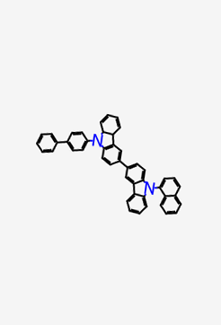 C1=CC2c3cc(-c4ccc5c(c4)c4ccccc4n5-c4cccc5ccccc45)ccc3N(c3ccc(-c4ccccc4)cc3)C2C=C1